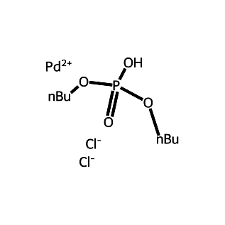 CCCCOP(=O)(O)OCCCC.[Cl-].[Cl-].[Pd+2]